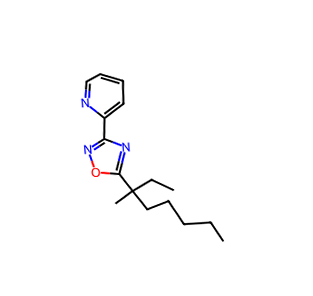 CCCCCC(C)(CC)c1nc(-c2ccccn2)no1